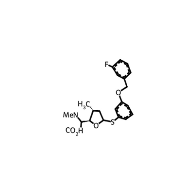 CNC(C(=O)O)[C@@H]1OC(Sc2cccc(OCc3cccc(F)c3)c2)C[C@H]1C